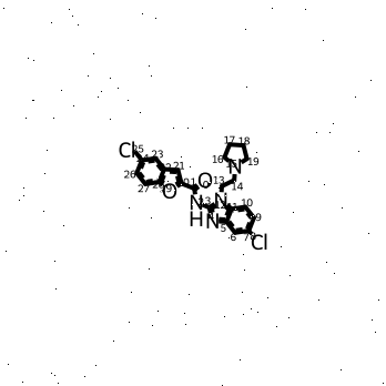 O=C(Nc1nc2cc(Cl)ccc2n1CCN1CCCC1)c1cc2cc(Cl)ccc2o1